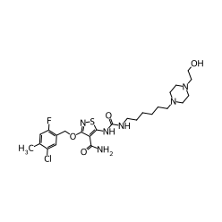 Cc1cc(F)c(COc2nsc(NC(=O)NCCCCCCN3CCN(CCO)CC3)c2C(N)=O)cc1Cl